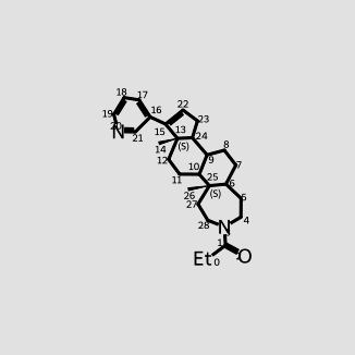 CCC(=O)N1CCC2CCC3C(CC[C@]4(C)C(c5cccnc5)=CCC34)[C@@]2(C)CC1